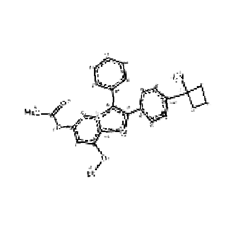 CCOc1cc(OC(=O)OC)nn2c(-c3ccccc3)c(-c3ccc(C4(N)CCC4)cc3)nc12